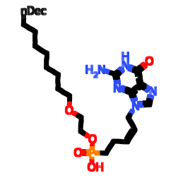 CCCCCCCCCCCCCCCCCCOCCOP(=O)(O)CC/C=C\Cn1cnc2c(=O)[nH]c(N)nc21